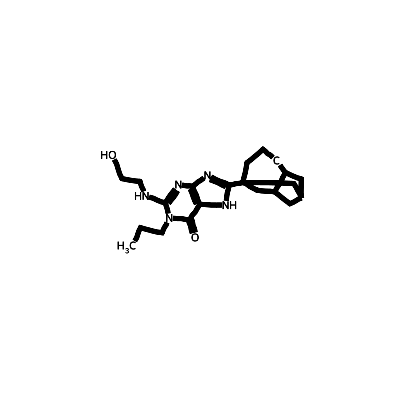 CCCn1c(NCCO)nc2nc(C34CCCC5CC(CC5C3)C4)[nH]c2c1=O